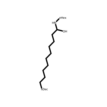 CCCCCCCCCCCCCCCCCCCC(O)NCCCCCC